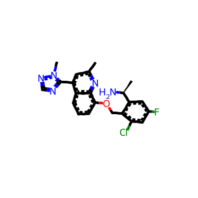 Cc1cc(-c2ncnn2C)c2cccc(OCc3c(Cl)cc(F)cc3[C@H](C)N)c2n1